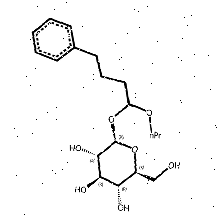 CCCOC(CCCc1ccccc1)O[C@H]1O[C@@H](CO)[C@H](O)[C@@H](O)[C@@H]1O